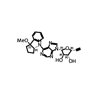 C#C[C@H]1O[C@@H](n2cnc3c(N[C@@H]4CCC[C@]4(OC)c4ccccc4)ncnc32)[C@H](O)[C@H]1O